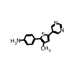 Cc1cc(-c2cncnc2)sc1-c1ccc(N)cc1